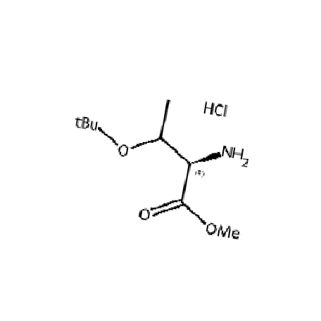 COC(=O)[C@H](N)C(C)OC(C)(C)C.Cl